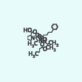 CCCC(=O)OC(OP(=O)(CCCCc1ccccc1)N[C@@H](C)C(=O)N1CCC[C@H]1C(=O)O)C(C)C